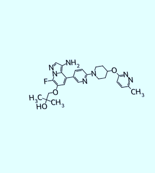 Cc1ccc(OC2CCN(c3ccc(-c4cc(OCC(C)(C)O)c(F)n5ncc(N)c45)cn3)CC2)nn1